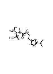 CC(C)c1nc(CCN(C)C(=O)N[C@H](C(=O)O)C(C)C)cs1